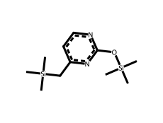 C[Si](C)(C)Cc1ccnc(O[Si](C)(C)C)n1